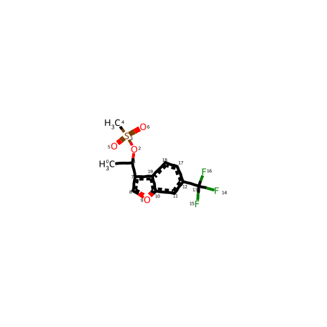 CC(OS(C)(=O)=O)c1coc2cc(C(F)(F)F)ccc12